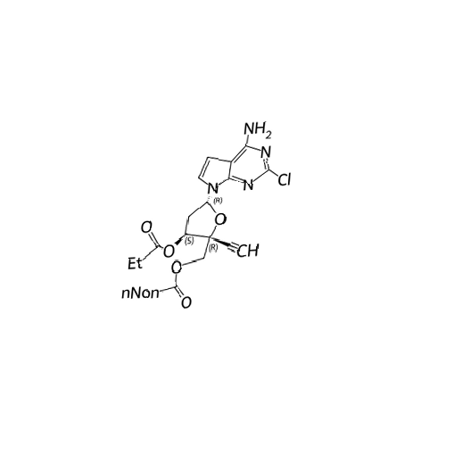 C#C[C@]1(COC(=O)CCCCCCCCC)O[C@@H](n2ccc3c(N)nc(Cl)nc32)C[C@@H]1OC(=O)CC